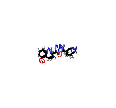 O=C1CCCc2nc(-c3nnc(-c4cccnc4)o3)ccc21